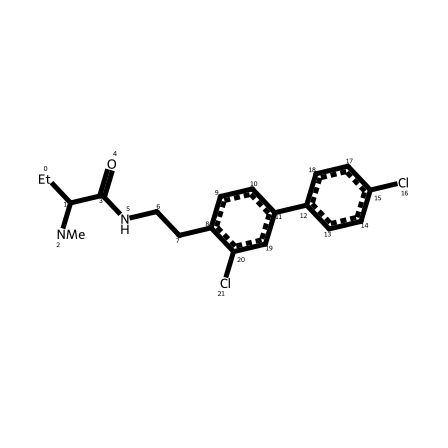 CCC(NC)C(=O)NCCc1ccc(-c2ccc(Cl)cc2)cc1Cl